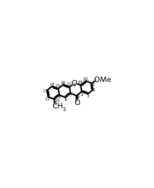 COc1ccc2c(=O)c3cc4c(C)cccc4cc3oc2c1